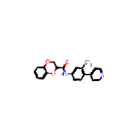 O=C(Nc1ccc(-c2ccncc2)c(C(F)(F)F)c1)C1COc2ccccc2O1